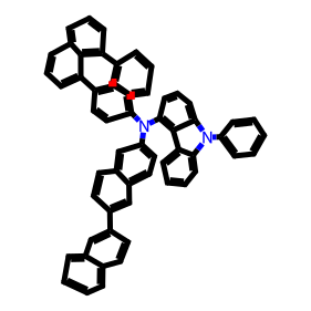 c1ccc(-c2cccc3cccc(-c4ccc(N(c5ccc6cc(-c7ccc8ccccc8c7)ccc6c5)c5cccc6c5c5ccccc5n6-c5ccccc5)cc4)c23)cc1